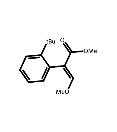 CO/C=C(/C(=O)OC)c1ccccc1C(C)(C)C